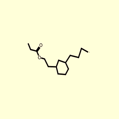 [CH2]CCCC1CCCC(CCOC(=O)CC)C1